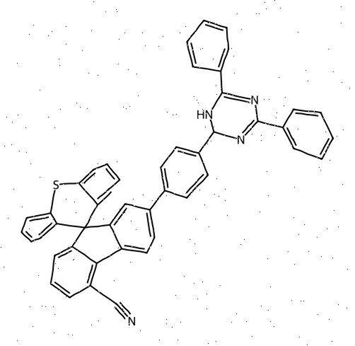 N#Cc1cccc2c1-c1ccc(-c3ccc(C4N=C(c5ccccc5)N=C(c5ccccc5)N4)cc3)cc1C21c2ccccc2Sc2ccccc21